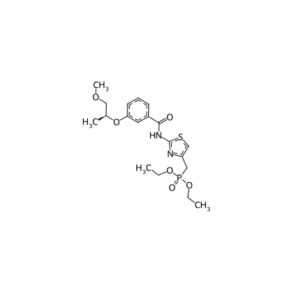 CCOP(=O)(Cc1csc(NC(=O)c2cccc(O[C@@H](C)COC)c2)n1)OCC